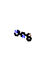 c1ccc2c(-c3ccc(C45CCCN(CC4)C5)cn3)csc2c1